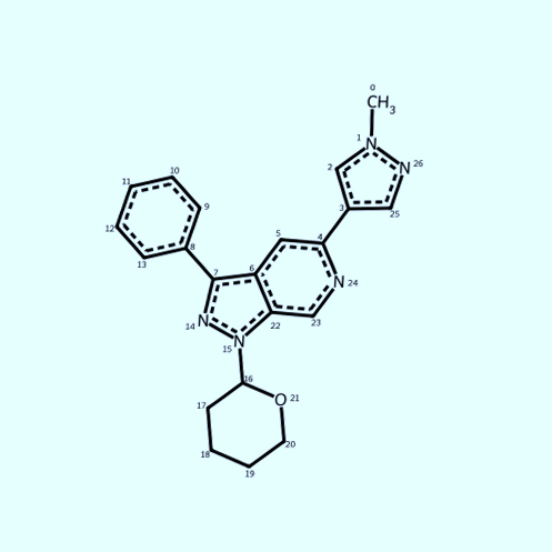 Cn1cc(-c2cc3c(-c4ccccc4)nn(C4CCCCO4)c3cn2)cn1